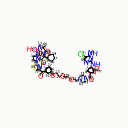 CNc1nc(Nc2ccc(C(=O)N3CCN(CCOCCOCCOc4cccc(C(=O)c5csc([C@@H]6CCCN6C(=O)C(NC(=O)C(C)N(C)C(=O)O)C6CCCCC6)n5)c4)CC3)cc2OC)ncc1Cl